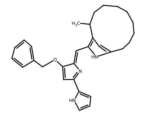 CC1CCCCCCCCc2cc1c(C=C1N=C(c3ccc[nH]3)C=C1OCc1ccccc1)[nH]2